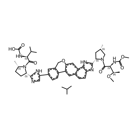 COC(=O)N[C@H](C(=O)N1C[C@@H](C)C[C@H]1c1nc2ccc3cc4c(cc3c2[nH]1)OCc1cc(-c2cnc([C@@H]3CC[C@H](C)N3C(=O)[C@@H](NC(=O)O)C(C)C)[nH]2)ccc1-4)[C@@H](C)OC.C[C](C)C